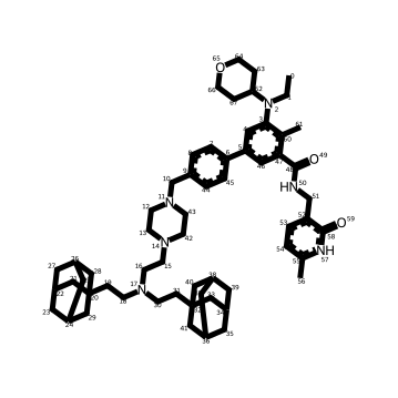 CCN(c1cc(-c2ccc(CN3CCN(CCN(CCC45CC6CC(CC(C6)C4)C5)CCC45CC6CC(CC(C6)C4)C5)CC3)cc2)cc(C(=O)NCc2ccc(C)[nH]c2=O)c1C)C1CCOCC1